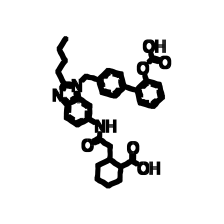 CCCCc1nc2ccc(NC(=O)CC3CCCCC3C(=O)O)cc2n1Cc1ccc(-c2ccccc2OC(=O)O)cc1